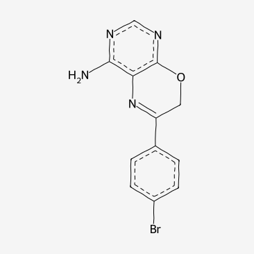 Nc1ncnc2c1N=C(c1ccc(Br)cc1)CO2